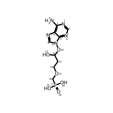 Nc1ncnc2c1ncn2OC(O)CCOCP(=O)(O)O